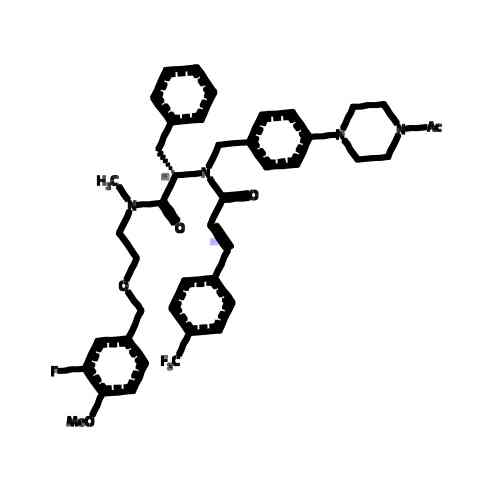 COc1ccc(COCCN(C)C(=O)[C@H](Cc2ccccc2)N(Cc2ccc(N3CCN(C(C)=O)CC3)cc2)C(=O)/C=C/c2ccc(C(F)(F)F)cc2)cc1F